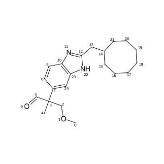 COCC(C)(C=O)c1ccc2nc(CC3CCCCCCC3)[nH]c2c1